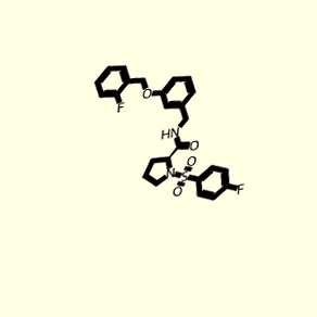 O=C(NCc1cccc(OCc2ccccc2F)c1)[C@@H]1CCCN1S(=O)(=O)c1ccc(F)cc1